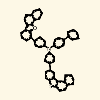 c1ccc(-c2ccc(N(c3ccc(-c4ccc5sc6ccc7ccccc7c6c5c4)cc3)c3ccc(-c4cccc5c4oc4c6ccccc6ccc54)cc3)cc2)cc1